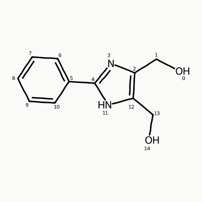 OCc1nc(-c2ccccc2)[nH]c1CO